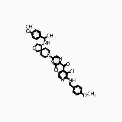 COc1ccc(CNc2nccc(C(=O)c3ncc(N4CCC5(CC4)COC[C@H]5NC(C)c4ccc(OC)cc4)nc3Cl)c2Cl)cc1